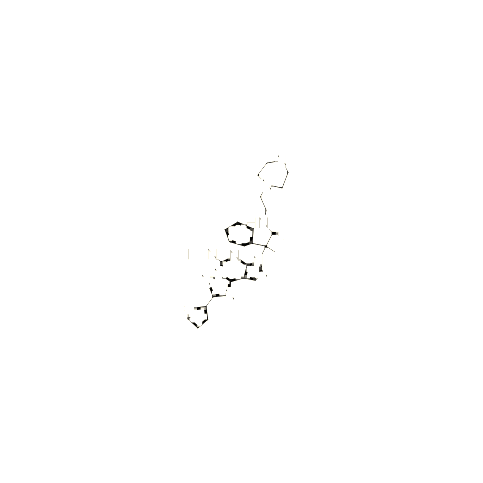 CC(C(=O)NCCN1CCNCC1)(c1ccccc1)n1ncc2c1nc(N)n1nc(-c3ccco3)nc21